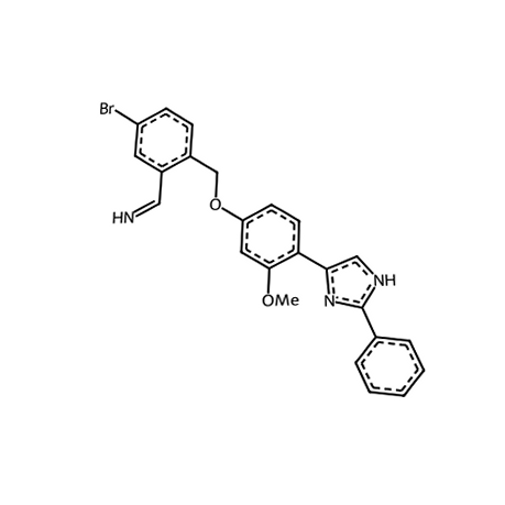 COc1cc(OCc2ccc(Br)cc2C=N)ccc1-c1c[nH]c(-c2ccccc2)n1